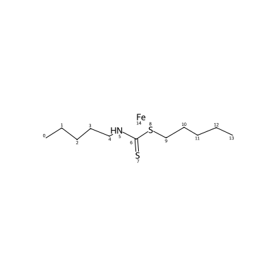 CCCCCNC(=S)SCCCCC.[Fe]